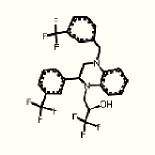 O[C@H](CN1c2ccccc2N(Cc2cccc(C(F)(F)F)c2)CC1c1cccc(C(F)(F)F)c1)C(F)(F)F